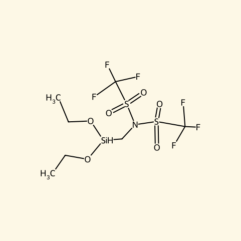 CCO[SiH](CN(S(=O)(=O)C(F)(F)F)S(=O)(=O)C(F)(F)F)OCC